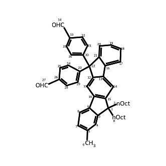 CCCCCCCCC1(CCCCCCCC)c2cc(C)ccc2-c2cc3c(cc21)-c1ccccc1C3(c1ccc(C=O)cc1)c1ccc(C=O)cc1